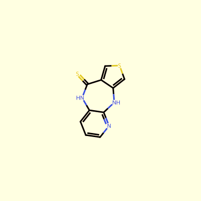 S=C1Nc2cccnc2Nc2cscc21